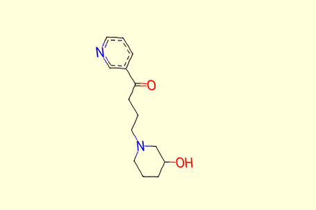 O=C(CCCN1CCCC(O)C1)c1cccnc1